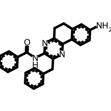 Nc1ccc2c(c1)CCc1nc(NC(=O)c3ccccc3)c(Cc3ccccc3)nc1-2